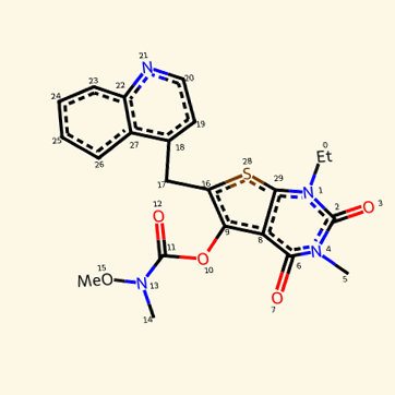 CCn1c(=O)n(C)c(=O)c2c(OC(=O)N(C)OC)c(Cc3ccnc4ccccc34)sc21